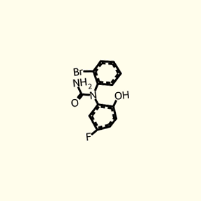 NC(=O)N(c1cc(F)ccc1O)c1ccccc1Br